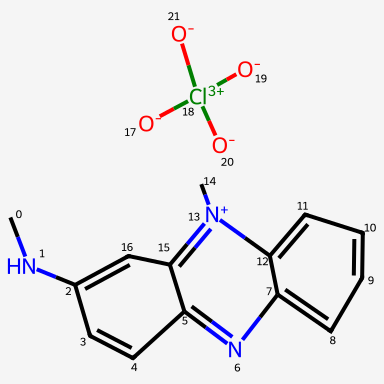 CNc1ccc2nc3ccccc3[n+](C)c2c1.[O-][Cl+3]([O-])([O-])[O-]